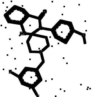 COc1ccc(N2C(=O)c3ccccc3NC23CCN(Cc2cc(F)cc(F)c2)CC3)cc1